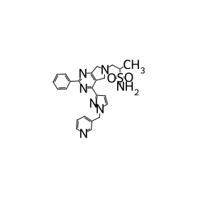 CC(CN1Cc2nc(-c3ccccc3)nc(-c3ccn(Cc4cccnc4)n3)c2C1)S(N)(=O)=O